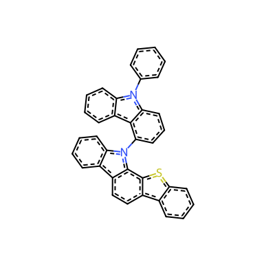 c1ccc(-n2c3ccccc3c3c(-n4c5ccccc5c5ccc6c7ccccc7sc6c54)cccc32)cc1